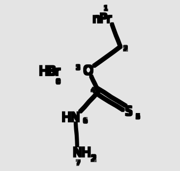 Br.CCCCOC(=S)NN